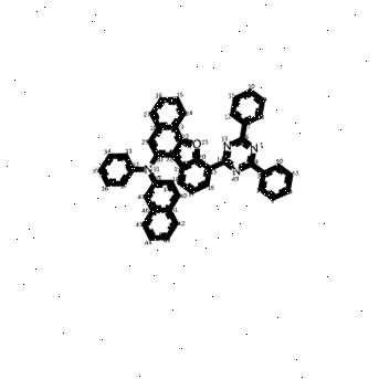 c1ccc(-c2nc(-c3ccccc3)nc(-c3cccc4c3oc3c5ccccc5cc(N(c5ccccc5)c5ccc6ccccc6c5)c43)n2)cc1